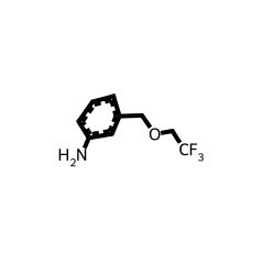 Nc1cccc(COCC(F)(F)F)c1